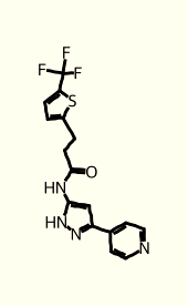 O=C(CCc1ccc(C(F)(F)F)s1)Nc1cc(-c2ccncc2)n[nH]1